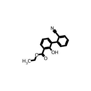 CCOC(=O)c1cccc(-c2ccccc2C#N)c1O